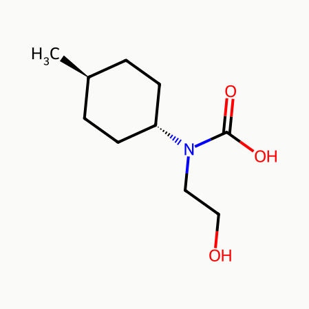 C[C@H]1CC[C@H](N(CCO)C(=O)O)CC1